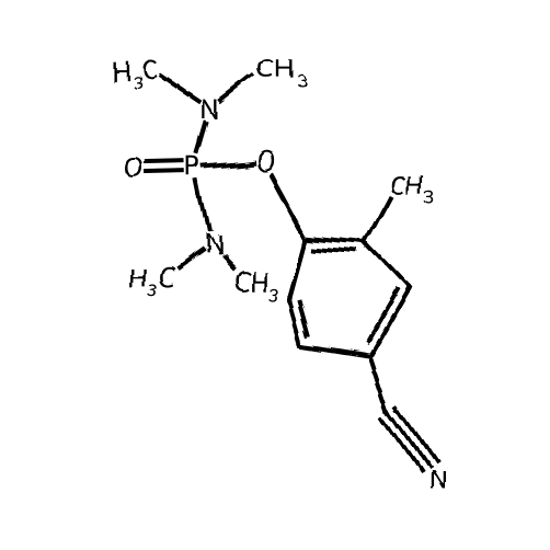 Cc1cc(C#N)ccc1OP(=O)(N(C)C)N(C)C